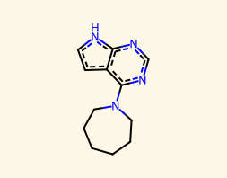 c1nc(N2CCCCCC2)c2cc[nH]c2n1